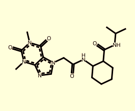 CC(C)NC(=O)C1CCCCC1NC(=O)Cn1cnc2c1c(=O)n(C)c(=O)n2C